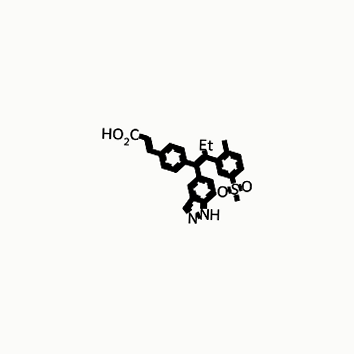 CCC(=C(c1ccc(C=CC(=O)O)cc1)c1ccc2[nH]ncc2c1)c1cc(S(C)(=O)=O)ccc1C